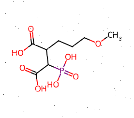 COCCCC(C(=O)O)C(C(=O)O)P(=O)(O)O